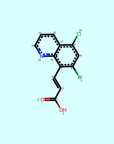 O=C(O)C=Cc1c(Br)cc(Cl)c2cccnc12